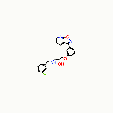 OC(CNCc1cccc(F)c1)COc1cccc(-c2noc3ncccc23)c1